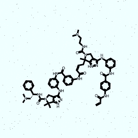 C=CC(=O)Nc1ccc(C(=O)Nc2cccc(Nc3n[nH]c4c3CN(C(=O)NCCN(C)C)C4(C)C/C=C\C(=O)Nc3cccc(C(=O)Nc4cccc(Nc5n[nH]c6c5CN(C(=O)N[C@H](CN(C)C)c5ccccc5)C6(C)C)c4)c3)c2)cc1